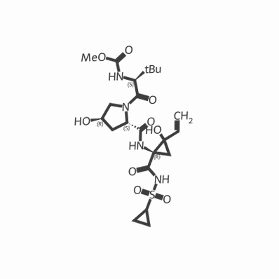 C=CC1(O)C[C@]1(NC(=O)[C@@H]1C[C@@H](O)CN1C(=O)[C@@H](NC(=O)OC)C(C)(C)C)C(=O)NS(=O)(=O)C1CC1